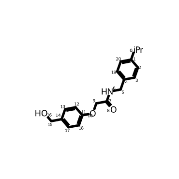 CC(C)c1ccc(CNC(=O)COc2ccc(CO)cc2)cc1